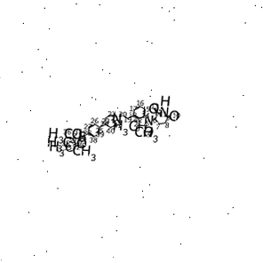 CC1(C)C(=O)N(C2CCC(=O)NC2=O)c2cccc(CCN3CCC(c4ccc(B5OC(C)(C)C(C)(C)O5)cc4)CC3)c21